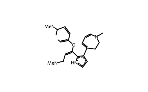 C/C=C(\C=C/C(C)NC)O/C(=C/CNC)c1[nH]ccc1C1=CC=CN(C)CC1